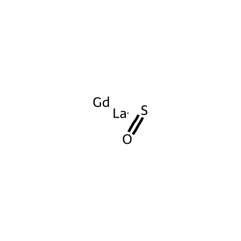 O=S.[Gd].[La]